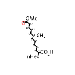 C.CCCCCCC(CCCCCCCCCCC(=O)OC)C(=O)O